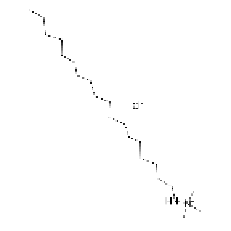 CCCCCCCCCCCCCCCCCCN[N+](C)(C)C.[Cl-]